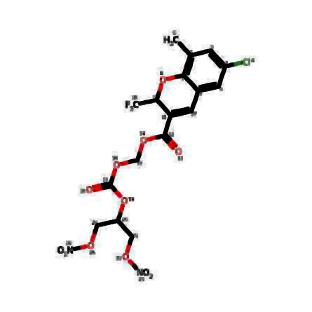 Cc1cc(Cl)cc2c1OC(C(F)(F)F)C(C(=O)OCOC(=O)OC(CO[N+](=O)[O-])CO[N+](=O)[O-])=C2